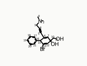 CN(C)CC#CC1=CC(O)(CO)C=C(Br)C1c1ccccc1